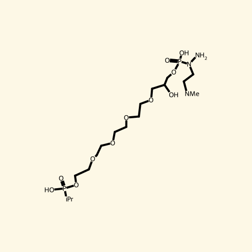 CNCCN(N)P(=O)(O)OCC(O)COCCOCCOCCOCCOP(=O)(O)C(C)C